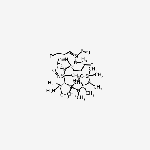 CN([Si](C)(C)C)[Si](C)(C)N(C)[Si](C)(C)N([Si](C)(C)N)[Si](C)(N=O)N(C)[Si@](CCCF)(N=O)N(C)/[Si](=C\CCF)N=O